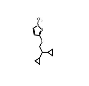 Cn1ccc(OCC(C2CC2)C2CC2)n1